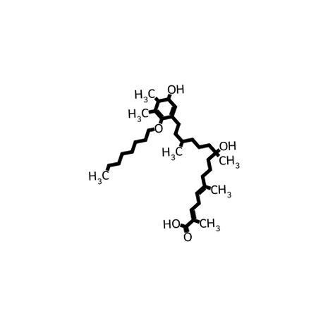 CCCCCCCCOC1=C(C)C(C)C(O)C=C1CCC(C)CCCC(C)(O)CCC/C(C)=C/C/C=C(\C)C(=O)O